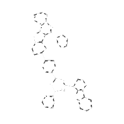 c1ccc(-c2nc3ccccc3c3sc4ccc(-c5ccc(C6=NC(c7ccccc7)NC(c7cccc8c7oc7ccccc78)=N6)cc5)cc4c23)cc1